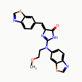 COCCN(C1=N/C(=C\c2ccc3ncsc3c2)C(=O)N1)c1ccc2ncsc2c1